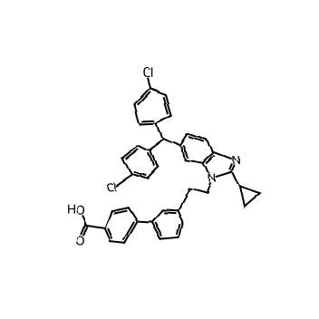 O=C(O)c1ccc(-c2cccc(CCn3c(C4CC4)nc4ccc(C(c5ccc(Cl)cc5)c5ccc(Cl)cc5)cc43)c2)cc1